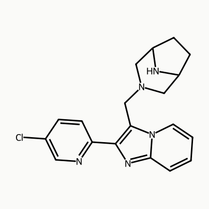 Clc1ccc(-c2nc3ccccn3c2CN2CC3CCC(C2)N3)nc1